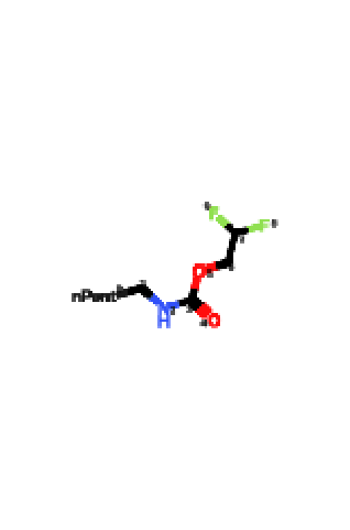 CCCCCCNC(=O)OCC(F)F